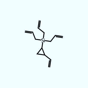 C=CC[Si](CC=C)(CC=C)C1CC1C=C